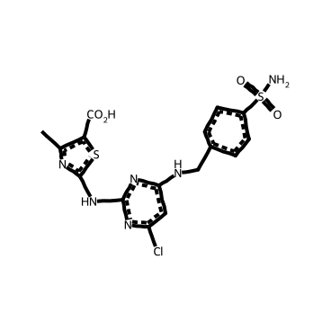 Cc1nc(Nc2nc(Cl)cc(NCc3ccc(S(N)(=O)=O)cc3)n2)sc1C(=O)O